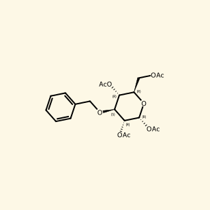 CC(=O)OC[C@H]1O[C@H](OC(C)=O)[C@H](OC(C)=O)[C@@H](OCc2ccccc2)[C@@H]1OC(C)=O